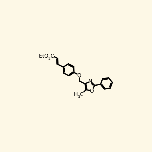 CCOC(=O)C=Cc1ccc(OCc2nc(-c3ccccc3)oc2C)cc1